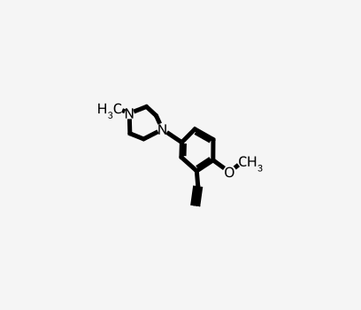 [C]#Cc1cc(N2CCN(C)CC2)ccc1OC